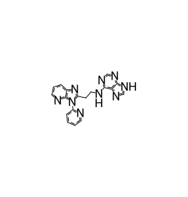 c1ccc(-n2c(CCNc3ncnc4[nH]cnc34)nc3cccnc32)nc1